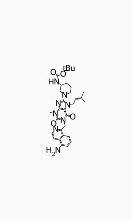 CC(C)=CCn1c(N2CCCC(NC(=O)OC(C)(C)C)C2)nc2c1c(=O)n(Cc1nccc3c(N)cccc13)c(=O)n2C